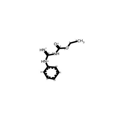 CCOC(=O)NC(=N)Nc1ccccc1